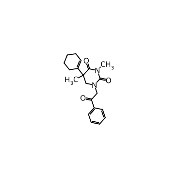 CN1C(=O)N(CC(=O)c2ccccc2)CC(C)(C2=CCCCC2)C1=O